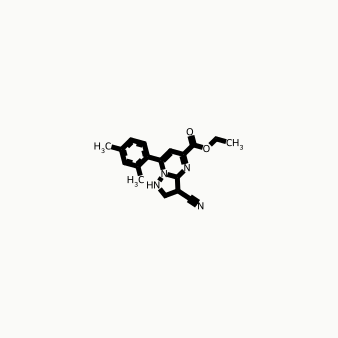 CCOC(=O)C1=NC2C(C#N)CNN2C(c2ccc(C)cc2C)=C1